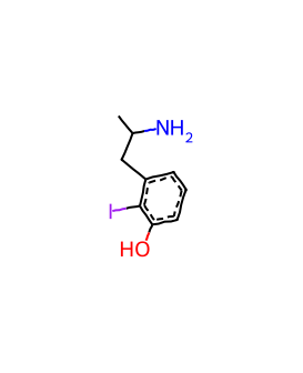 CC(N)Cc1cccc(O)c1I